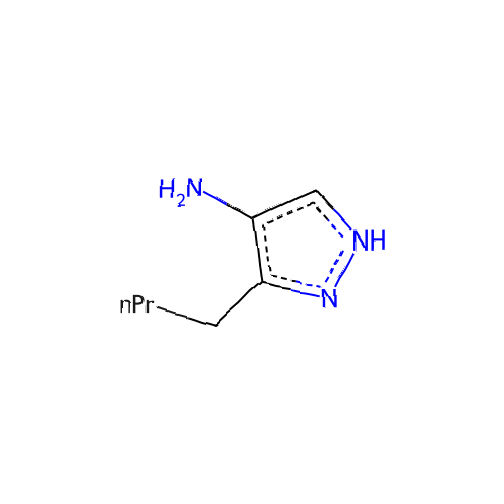 CCCCc1n[nH]cc1N